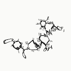 O=C(c1ccc(Cl)cc1)N1CCN(C2CN(c3nc(C(F)(F)F)nc4c(F)cccc34)CC2O)CC1